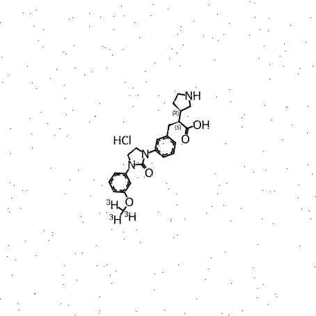 Cl.[3H]C([3H])([3H])Oc1cccc(N2CCN(c3cccc(C[C@H](C(=O)O)[C@H]4CCNC4)c3)C2=O)c1